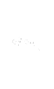 [O-][S+](Nc1nccs1)c1cc(Cl)c(NCCC2CCCCN2)cc1F